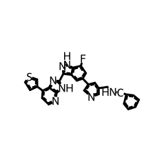 Fc1cc(-c2cncc(CNCc3ccccc3)c2)cc2c(-c3nc4c(-c5ccsc5)ccnc4[nH]3)n[nH]c12